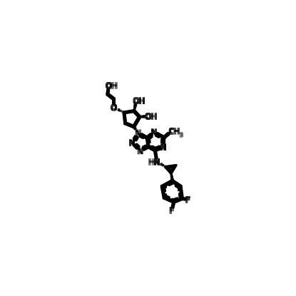 Cc1nc(N[C@@H]2C[C@H]2c2ccc(F)c(F)c2)c2nnn([C@@H]3C[C@H](OCCO)[C@@H](O)[C@H]3O)c2n1